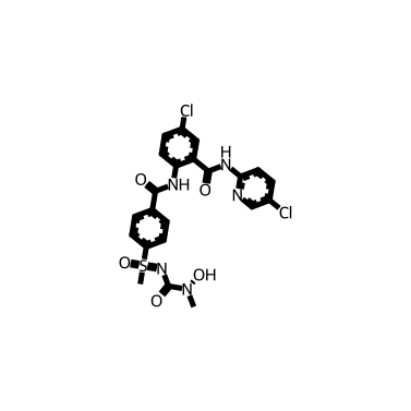 CN(O)C(=O)N=S(C)(=O)c1ccc(C(=O)Nc2ccc(Cl)cc2C(=O)Nc2ccc(Cl)cn2)cc1